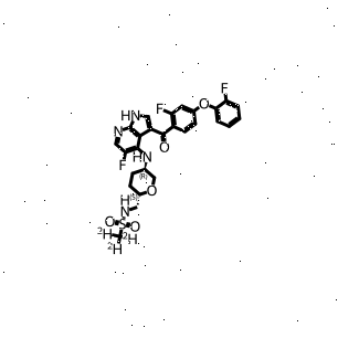 [2H]C([2H])([2H])S(=O)(=O)NC[C@@H]1CC[C@@H](Nc2c(F)cnc3[nH]cc(C(=O)c4ccc(Oc5ccccc5F)cc4F)c23)CO1